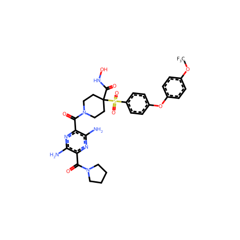 Nc1nc(C(=O)N2CCC(C(=O)NO)(S(=O)(=O)c3ccc(Oc4ccc(OC(F)(F)F)cc4)cc3)CC2)c(N)nc1C(=O)N1CCCC1